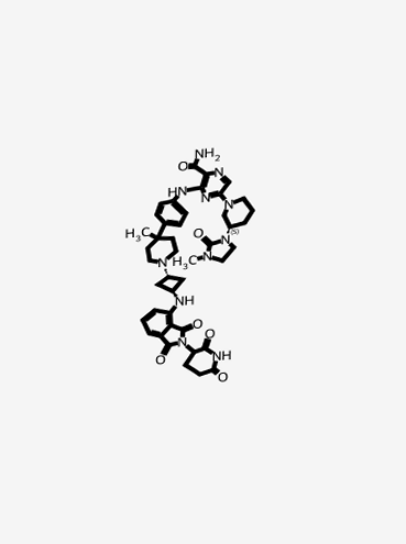 CN1CCN([C@H]2CCCN(c3cnc(C(N)=O)c(Nc4ccc(C5(C)CCN([C@H]6C[C@H](Nc7cccc8c7C(=O)N(C7CCC(=O)NC7=O)C8=O)C6)CC5)cc4)n3)C2)C1=O